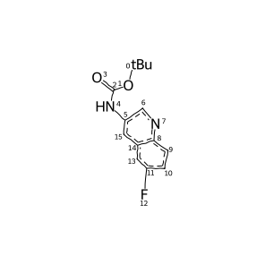 CC(C)(C)OC(=O)Nc1cnc2ccc(F)cc2c1